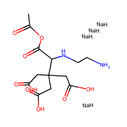 CC(=O)OC(=O)C(NCCN)C(CC(=O)O)(CC(=O)O)CC(=O)O.[NaH].[NaH].[NaH].[NaH]